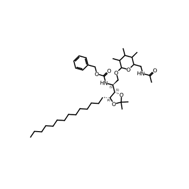 CCCCCCCCCCCCCC[C@H]1OC(C)(C)O[C@H]1[C@H](COC1OC(CNC(C)=O)C(C)C(C)C1C)NC(=O)OCc1ccccc1